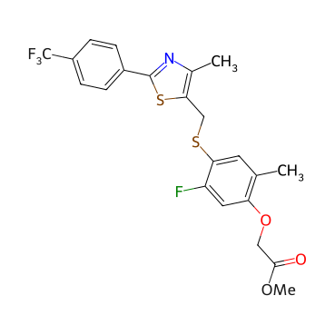 COC(=O)COc1cc(F)c(SCc2sc(-c3ccc(C(F)(F)F)cc3)nc2C)cc1C